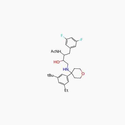 CCc1cc(C(C)(C)C)cc(C2(NCC(O)C(Cc3cc(F)cc(F)c3)NC(C)=O)CCOCC2)c1